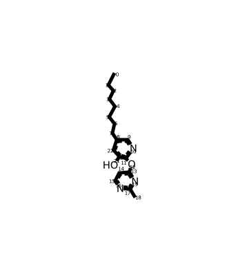 CCCCCCCCc1cnc(Oc2ccnc(C)n2)c(O)c1